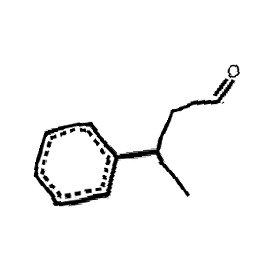 CC(C[C]=O)c1ccccc1